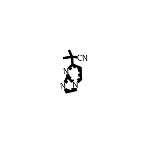 CC(C)(C#N)c1ccn2ccnc2n1